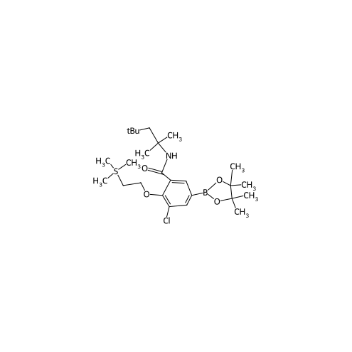 CC(C)(C)CC(C)(C)NC(=O)c1cc(B2OC(C)(C)C(C)(C)O2)cc(Cl)c1OCCS(C)(C)C